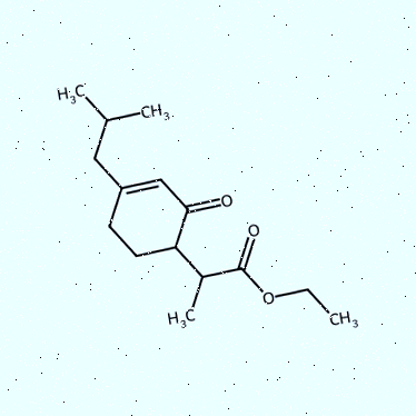 CCOC(=O)C(C)C1CCC(CC(C)C)=CC1=O